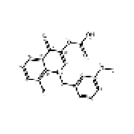 COc1cccc(Cn2cc(OC(=O)O)c(=O)c3cccc(F)c32)c1